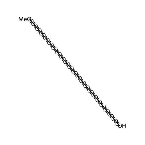 COCCOCCOCCOCCOCCOCCOCCOCCOCCOCCOCCOCCOCCOCCOCCOCCOCCOCCOCCOCCOCCOCCOCCOCCOCCOCCOCCOCCOCCOCCOCCOCCOCCOCCOCCOCCOCCOCCOCCOCCOCCOCCOCCOCCOCCO